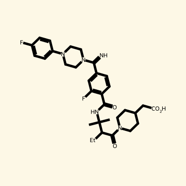 CCC(C(=O)N1CCC(CC(=O)O)CC1)C(C)(C)NC(=O)c1ccc(C(=N)N2CCN(c3ccc(F)cc3)CC2)cc1F